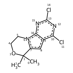 CC1(C)OCCn2c1cc1c(Cl)nc(Cl)nc12